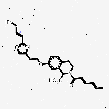 CC=CC=CC(=O)N1CCc2ccc(OCCc3coc(/C=C/CC(C)C)n3)cc2C1C(=O)O